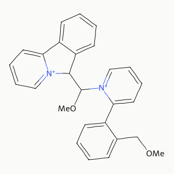 COCc1ccccc1-c1cccc[n+]1C(OC)C1c2ccccc2-c2cccc[n+]21